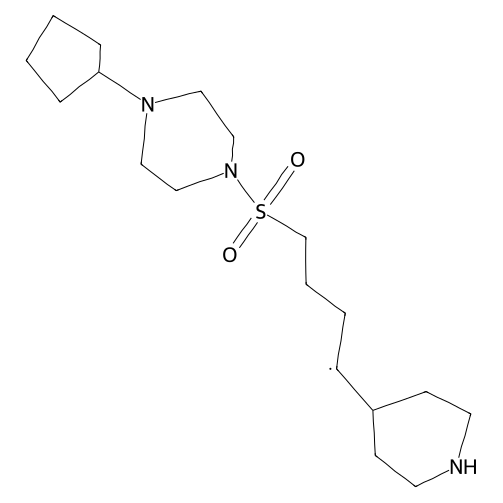 O=S(=O)(CCC[CH]C1CCNCC1)N1CCN(C2CCCC2)CC1